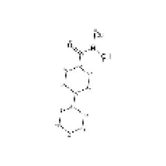 CC(C)(C)N(O)C(=O)C1CCC(C2CCCCC2)CC1